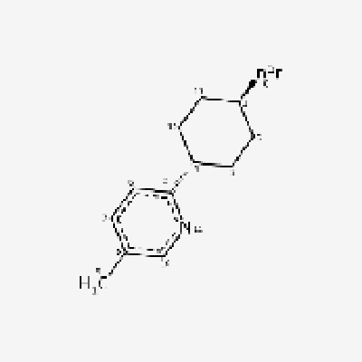 CCC[C@H]1CC[C@H](c2ccc(C)cn2)CC1